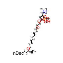 CCCCCCCCCCCCC(CCC)OCCCCCCCCCCOCCOCCC(C[N+](C)(C)C)OP(=O)([O-])O